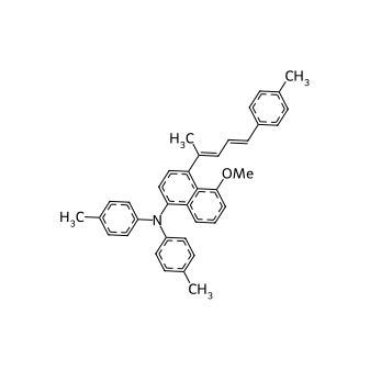 COc1cccc2c(N(c3ccc(C)cc3)c3ccc(C)cc3)ccc(C(C)=CC=Cc3ccc(C)cc3)c12